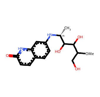 COC(CO)C(O)C(O)[C@@H](C)Nc1ccc2ccc(=O)[nH]c2c1